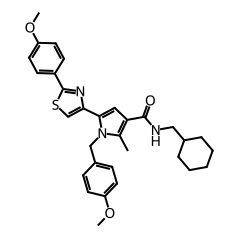 COc1ccc(Cn2c(-c3csc(-c4ccc(OC)cc4)n3)cc(C(=O)NCC3CCCCC3)c2C)cc1